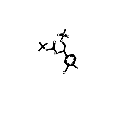 CC(C)(C)OC(=O)NC(COS(C)(=O)=O)c1ccc(F)c(Cl)c1